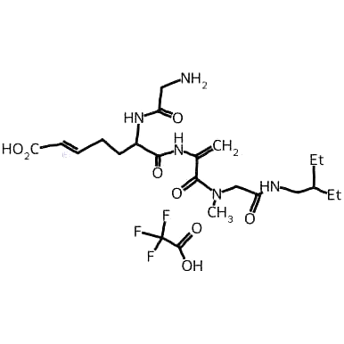 C=C(NC(=O)C(CC/C=C/C(=O)O)NC(=O)CN)C(=O)N(C)CC(=O)NCC(CC)CC.O=C(O)C(F)(F)F